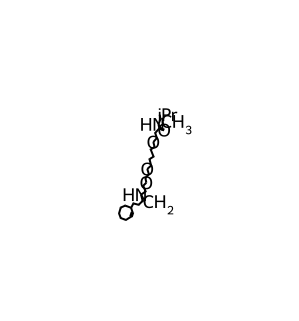 C=C(CCC1C#CCCCCC1)NCCOCCOCCCCCOCCC(=O)NC(C)C(C)C